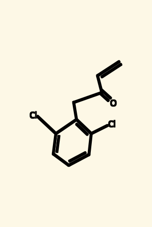 C=CC(=O)Cc1c(Cl)cccc1Cl